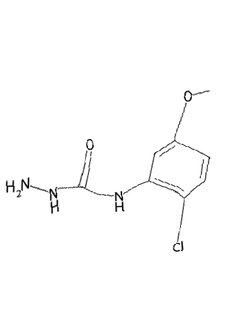 COc1ccc(Cl)c(NC(=O)NN)c1